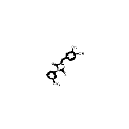 Cc1cccc(N2C(=O)/C(=C/c3ccc(O)c(O)c3)SC2=S)c1